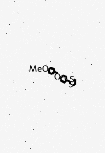 COc1ccc(COc2ccc(C3SCCCS3)cc2)cc1